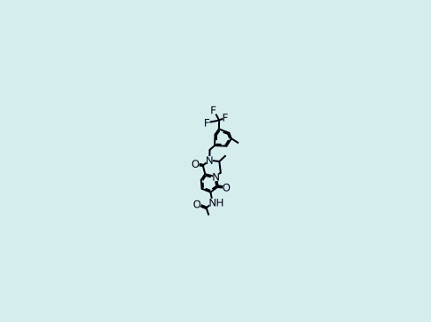 CC(=O)Nc1ccc2n(c1=O)CC(C)N(Cc1cc(C)cc(C(F)(F)F)c1)C2=O